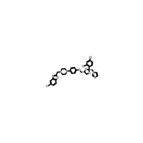 Clc1ccc([C@]2(Cn3ccnc3)OC[C@@H](COc3ccc(N4CCN(Cc5nc6cc(Cl)ccc6o5)CC4)cc3)O2)c(Cl)c1